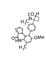 COc1cc(C)c2[nH]c(=O)c3sccc3c2c1-c1ccc(C2(N(C)C(=O)O)CCC2)cc1